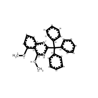 COc1cccc2nc(C(c3ccccc3)(c3ccccc3)c3ccccc3)nc(OC)c12